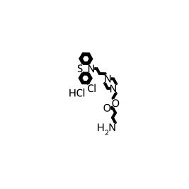 Cl.NCCCC(=O)OCCN1CCN(CCCN2c3ccccc3Sc3ccc(Cl)cc32)CC1